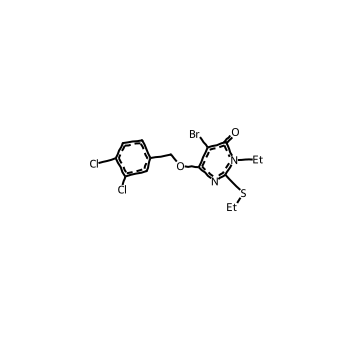 CCSc1nc(OCc2ccc(Cl)c(Cl)c2)c(Br)c(=O)n1CC